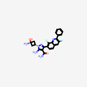 NC(=O)c1c(-c2ccc3cc(F)c(-c4ccccc4)nc3c2F)nn([C@H]2C[C@@](N)(O)C2)c1N